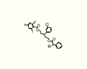 O=C(OCCN(CCOC(=O)C(Br)c1ccccc1)c1cccc(Cl)c1)c1c(I)cc(I)cc1I